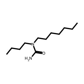 CCCCCCCN(CCCC)C(N)=O